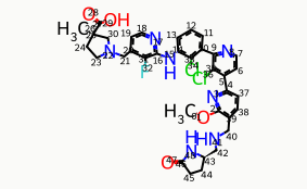 COc1nc(-c2ccnc(-c3cccc(Nc4nccc(CN5CC[C@@](C)(C(=O)O)C5)c4F)c3Cl)c2Cl)ccc1CNC[C@H]1CCC(=O)N1